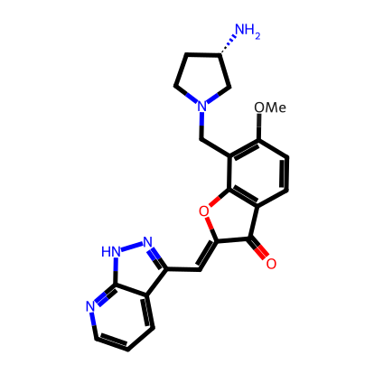 COc1ccc2c(c1CN1CC[C@H](N)C1)OC(=Cc1n[nH]c3ncccc13)C2=O